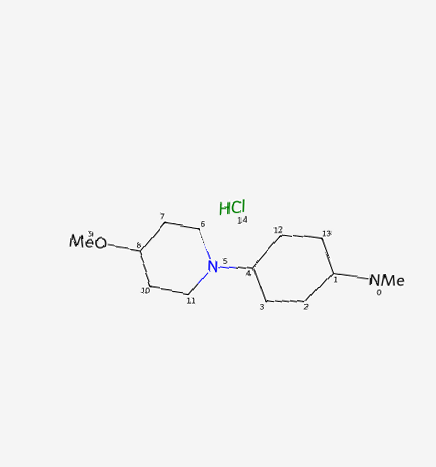 CNC1CCC(N2CCC(OC)CC2)CC1.Cl